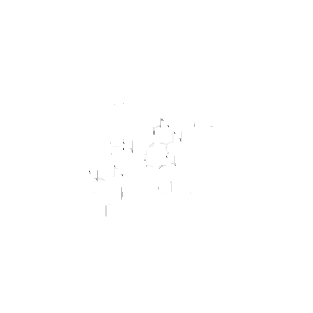 CCn1ncc2c(NC3CCOCC3)c(CN3CCCN=C3C(F)(F)F)c(C)nc21